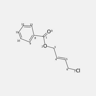 O=C(OCC=CCCl)c1ccccc1